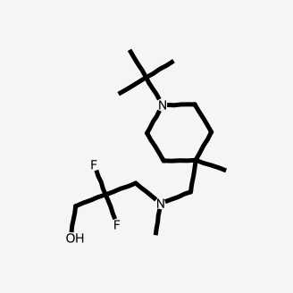 CN(CC(F)(F)CO)CC1(C)CCN(C(C)(C)C)CC1